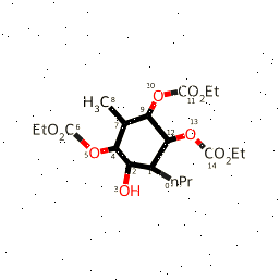 CCCC1C(O)C(OC(=O)OCC)C(C)C(OC(=O)OCC)C1OC(=O)OCC